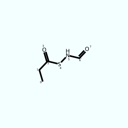 CCC(=O)SN[C]=O